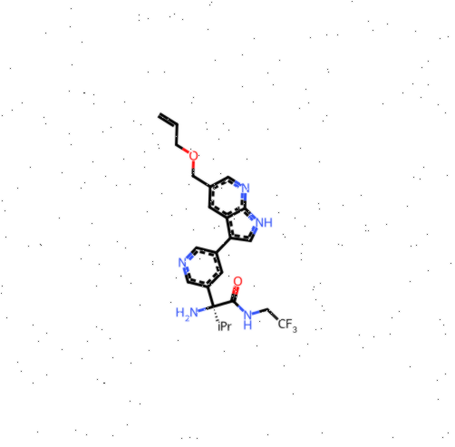 C=CCOCc1cnc2[nH]cc(-c3cncc([C@](N)(C(=O)NCC(F)(F)F)C(C)C)c3)c2c1